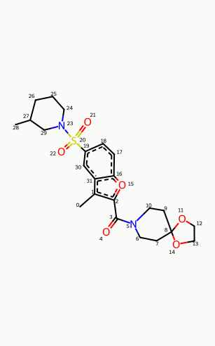 Cc1c(C(=O)N2CCC3(CC2)OCCO3)oc2ccc(S(=O)(=O)N3CCCC(C)C3)cc12